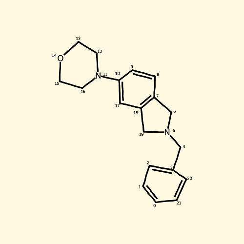 c1ccc(CN2Cc3ccc(N4CCOCC4)cc3C2)cc1